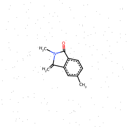 C=C1c2cc(C)ccc2C(=O)N1C